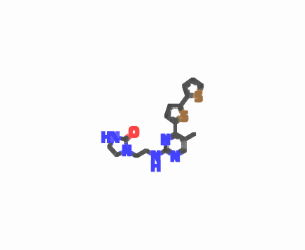 Cc1cnc(NCCN2CCNC2=O)nc1-c1ccc(-c2cccs2)s1